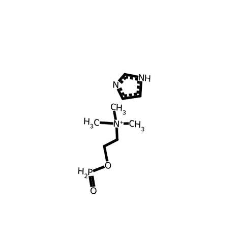 C[N+](C)(C)CCO[PH2]=O.c1c[nH]cn1